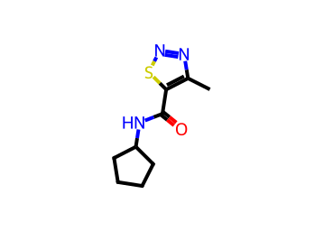 Cc1nnsc1C(=O)NC1CCCC1